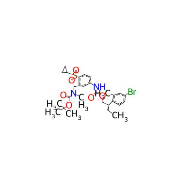 CC[C@@H](COC(=O)Nc1ccc(S(=O)(=O)C2CC2)c(CN(C)C(=O)OC(C)(C)C)c1)c1ccc(Br)cc1C